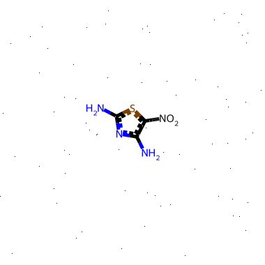 Nc1nc(N)c([N+](=O)[O-])s1